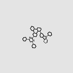 C1=Cc2c(c3ccc(-c4cccc5c6ccccc6c6cc(-c7nc(-c8ccccc8)cc(-c8ccccc8)n7)ccc6c45)cc3n2-c2ccccc2)CC1